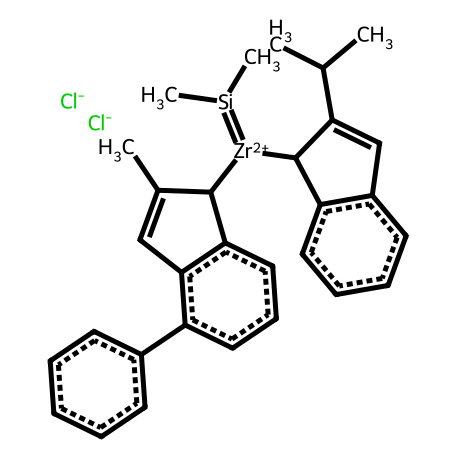 CC1=Cc2c(-c3ccccc3)cccc2[CH]1[Zr+2]([CH]1C(C(C)C)=Cc2ccccc21)=[Si](C)C.[Cl-].[Cl-]